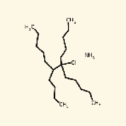 CCCCCC(CCCC)C(Cl)(CCCCC)CCCCC.N